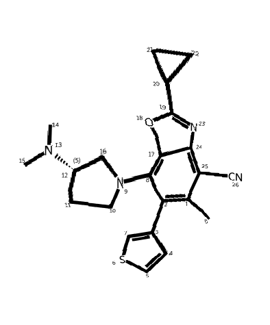 Cc1c(-c2ccsc2)c(N2CC[C@H](N(C)C)C2)c2oc(C3CC3)nc2c1C#N